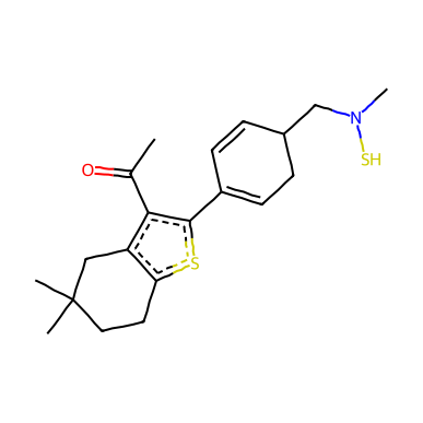 CC(=O)c1c(C2=CCC(CN(C)S)C=C2)sc2c1CC(C)(C)CC2